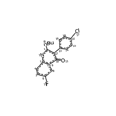 CCCCc1nc2ccc(F)cn2c(=O)c1-c1ccc(Cl)cc1